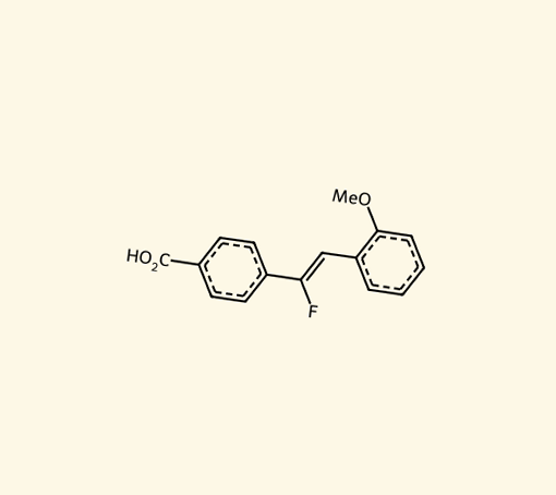 COc1ccccc1C=C(F)c1ccc(C(=O)O)cc1